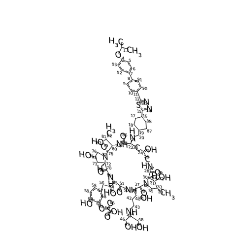 CC(C)Oc1ccc(-c2ccc(-c3nnc(C4CCC(CN[C@H]5C[C@@H](O)CNC(=O)[C@@H]6[C@@H](O)[C@@H](C)CN6C(=O)[C@H]([C@H](O)CCNC(CO)CO)NC(=O)[C@H]([C@H](O)Cc6ccc(O)c(OS(=O)(=O)O)c6)NC(=O)[C@@H]6C[C@@H](O)CN6C(=O)[C@H]([C@@H](C)O)NC5=O)CC4)s3)cc2)cc1